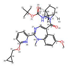 COc1ccc2c(c1)C(C(=O)N1C[C@H]3CC[C@@H]1[C@@H]3NC(=O)OC(C)(C)C)=CN=C(c1cccc(OCC3CC3)n1)N2C